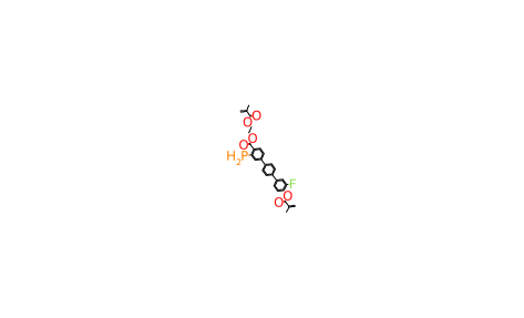 C=C(C)C(=O)OCCOC(=O)c1ccc(-c2ccc(-c3ccc(OC(=O)C(=C)C)c(F)c3)cc2)cc1P